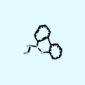 CC(C)NP1Oc2ccccc2-c2ccccc21